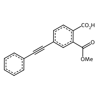 COC(=O)c1cc(C#Cc2ccccc2)ccc1C(=O)O